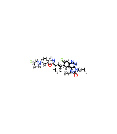 C=N/C(=C\C=C(/C)c1cc2c(cc1F)nnc1c2n(C(C)C)c(=O)n1C)OCCCN1CC[C@H](F)C1